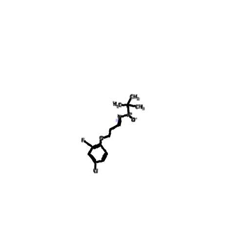 CC(C)(C)[S+]([O-])/N=C/CCOc1ccc(Cl)cc1F